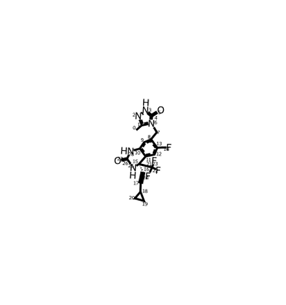 Cc1n[nH]c(=O)n1Cc1cc2c(cc1F)[C@@](C#CC1CC1)(C(F)(F)F)NC(=O)N2